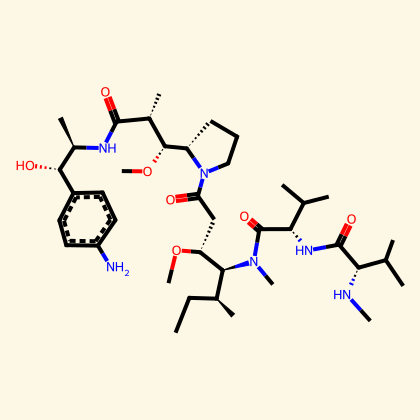 CC[C@H](C)[C@@H]([C@@H](CC(=O)N1CCC[C@H]1[C@H](OC)[C@@H](C)C(=O)N[C@H](C)[C@@H](O)c1ccc(N)cc1)OC)N(C)C(=O)[C@@H](NC(=O)[C@@H](NC)C(C)C)C(C)C